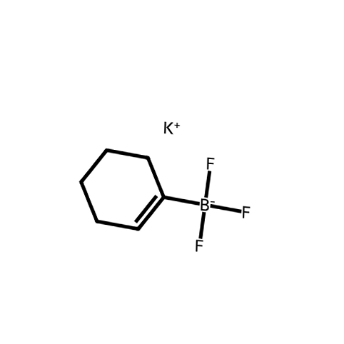 F[B-](F)(F)C1=CCCCC1.[K+]